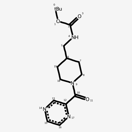 CC(C)(C)OC(=O)NCC1CCN(C(=O)c2cnccn2)CC1